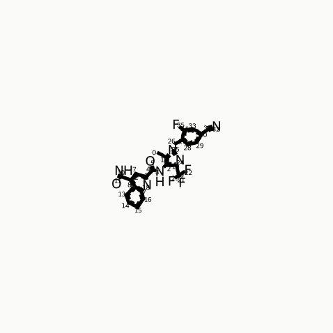 Cc1c(NC(=O)c2cc(C(N)=O)c3ccccc3n2)c(C(F)(F)F)nn1Cc1ccc(C#N)cc1F